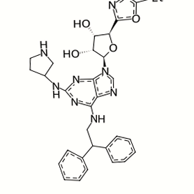 CCc1nnc([C@H]2O[C@@H](n3cnc4c(NCC(c5ccccc5)c5ccccc5)nc(NC5CCNC5)nc43)[C@H](O)[C@@H]2O)o1